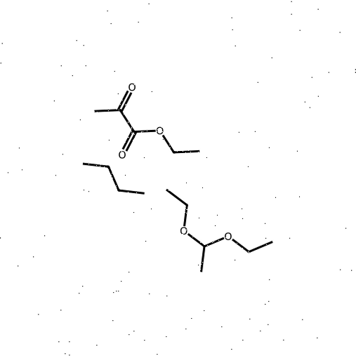 CCCC.CCOC(=O)C(C)=O.CCOC(C)OCC